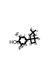 CC(C)(C)CC1(c2cc(F)c(O)c(F)c2)CCC1(C)C